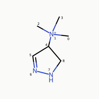 C[N+](C)(C)C1C=NNC1